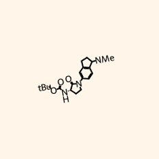 CNC1CCc2cc(N3CC[C@H](NC(=O)OC(C)(C)C)C3=O)ccc21